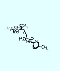 Cc1ccc(NC(=O)C(O)COCC(C)O[Si](C)(C)C(C)(C)C)nc1